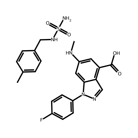 CNc1cc(C(=O)O)c2cnn(-c3ccc(F)cc3)c2c1.Cc1ccc(CNS(N)(=O)=O)cc1